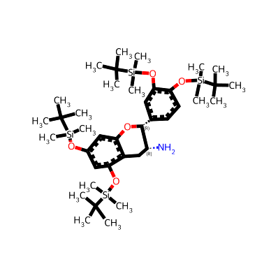 CC(C)(C)[Si](C)(C)Oc1cc2c(c(O[Si](C)(C)C(C)(C)C)c1)C[C@@H](N)[C@@H](c1ccc(O[Si](C)(C)C(C)(C)C)c(O[Si](C)(C)C(C)(C)C)c1)O2